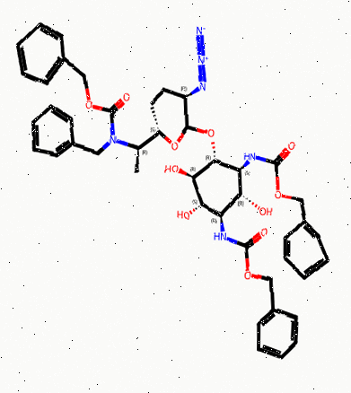 C[C@H]([C@@H]1CC[C@@H](N=[N+]=[N-])C(O[C@H]2[C@H](O)[C@@H](O)[C@H](NC(=O)OCc3ccccc3)[C@@H](O)[C@@H]2NC(=O)OCc2ccccc2)O1)N(Cc1ccccc1)C(=O)OCc1ccccc1